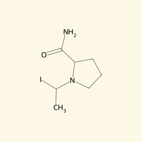 CC(I)N1CCCC1C(N)=O